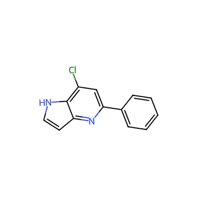 Clc1cc(-c2ccccc2)nc2cc[nH]c12